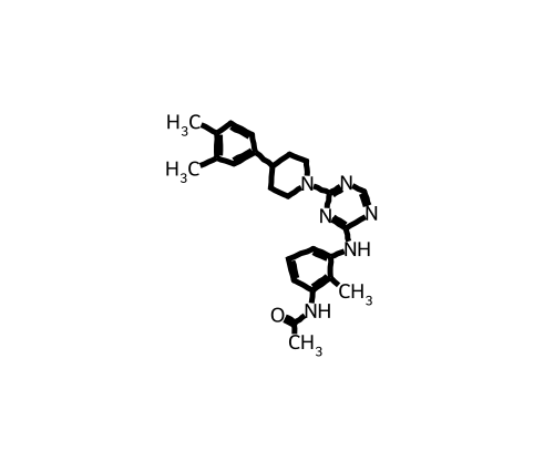 CC(=O)Nc1cccc(Nc2ncnc(N3CCC(c4ccc(C)c(C)c4)CC3)n2)c1C